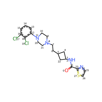 O=C(NC1CC(CCN2CCN(c3cccc(Cl)c3Cl)CC2)C1)c1nccs1